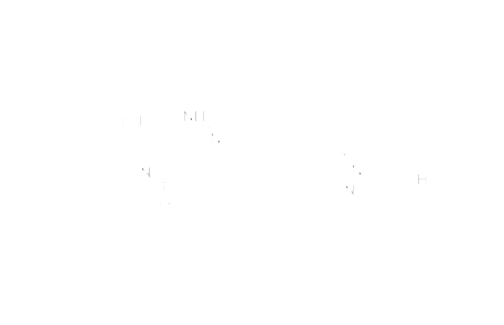 CCCN(CCC)C(=O)C1=Cc2ccc(-c3ccc4c(=O)n(CC(C)C)ncc4c3)cc2N=C(N)C1